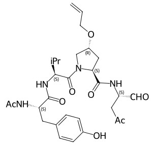 C=CCO[C@@H]1C[C@@H](C(=O)N[C@H](C=O)CC(C)=O)N(C(=O)[C@@H](NC(=O)[C@H](Cc2ccc(O)cc2)NC(C)=O)C(C)C)C1